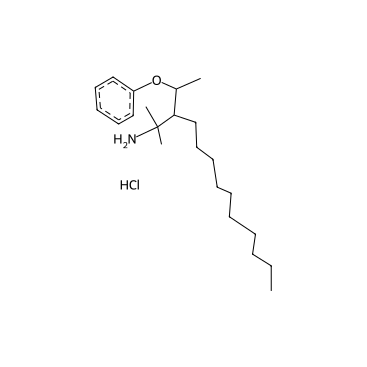 CCCCCCCCCCC(C(C)Oc1ccccc1)C(C)(C)N.Cl